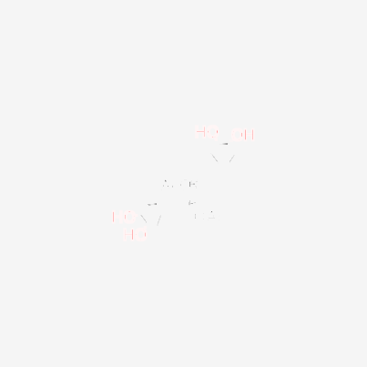 CC(=O)O[C@H](CCc1ccc(O)c(O)c1)C[C@@H](CCc1ccc(O)c(O)c1)OC(C)=O